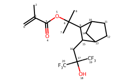 C=C(C)C(=O)OC(C)(C)C1C2CCC(C2)C1CC(O)(C(F)(F)F)C(F)(F)F